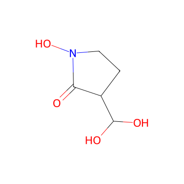 O=C1C(C(O)O)CCN1O